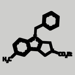 CCOC(=O)N1Cc2c(n(Cc3ccccc3)c3ccc(C)cc23)C1